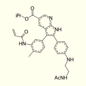 C=CC(=O)Nc1cc(-c2c(-c3ccc(NCCNC(C)=O)cc3)[nH]c3ncc(C(=O)OC(C)C)cc23)ccc1C